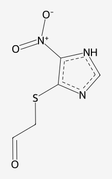 O=CCSc1nc[nH]c1[N+](=O)[O-]